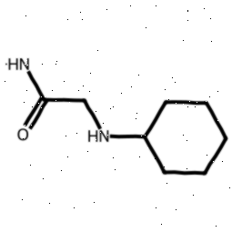 [NH]C(=O)CNC1CCCCC1